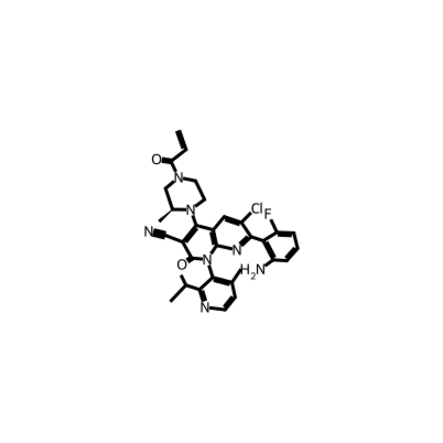 C=CC(=O)N1CCN(c2c(C#N)c(=O)n(-c3c(C)ccnc3C(C)C)c3nc(-c4c(N)cccc4F)c(Cl)cc23)[C@@H](C)C1